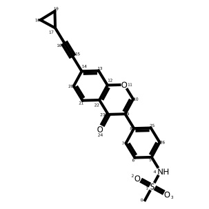 CS(=O)(=O)Nc1ccc(-c2coc3cc(C#CC4CC4)ccc3c2=O)cc1